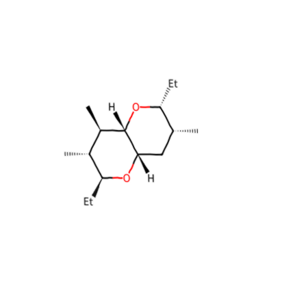 CC[C@@H]1O[C@H]2C[C@@H](C)[C@@H](CC)O[C@H]2[C@H](C)[C@H]1C